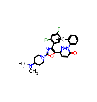 Cc1ccccc1-n1nc(-c2oc(N3CCC(N(C)C)CC3)nc2-c2ccc(F)cc2F)ccc1=O